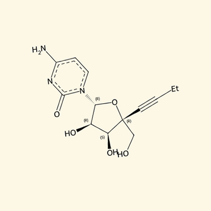 CCC#C[C@]1(CO)O[C@@H](n2ccc(N)nc2=O)[C@H](O)[C@@H]1O